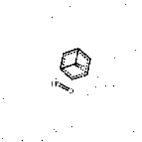 O=C1c2cccc1c2.O=P